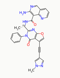 C[C@H](NC(=O)c1c(N)ncc2cccnc12)c1nc2occ(C#Cc3cnn(C)c3)c2c(=O)n1-c1ccccc1